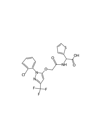 O=C(COc1cc(C(F)(F)F)nn1-c1ccccc1Cl)NC(C(=O)O)c1cccs1